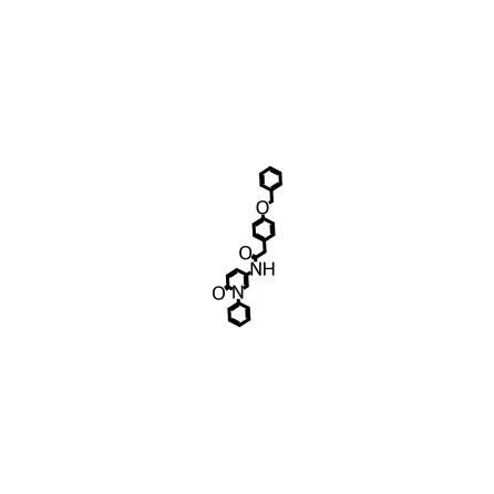 O=C(Cc1ccc(OCc2ccccc2)cc1)Nc1ccc(=O)n(-c2ccccc2)c1